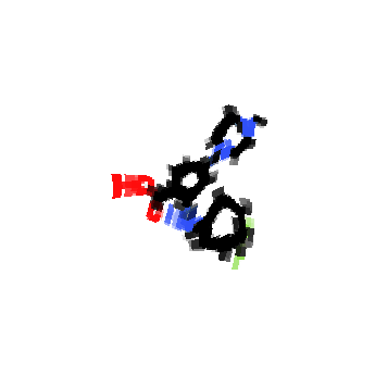 CN1CCN(c2ccc(C(=O)O)c(NC3CCC(F)(F)CC3)c2)CC1